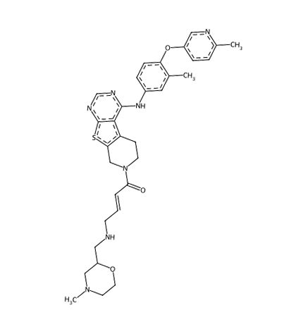 Cc1ccc(Oc2ccc(Nc3ncnc4sc5c(c34)CCN(C(=O)/C=C/CNCC3CN(C)CCO3)C5)cc2C)cn1